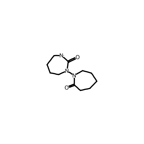 O=C1CCCCCN1N1CCCC[N]C1=O